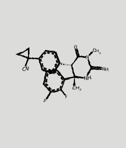 CN1C(=N)N[C@](C)(c2cccc(F)c2F)[C@H](c2ccc(C3(C#N)CC3)cc2)C1=O